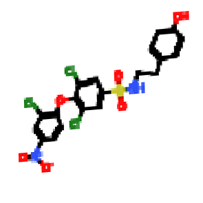 O=[N+]([O-])c1ccc(Oc2c(Cl)cc(S(=O)(=O)NCCc3ccc(O)cc3)cc2Cl)c(Cl)c1